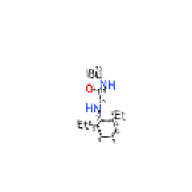 CCc1cccc(CC)c1NCC(=O)NC(C)CC